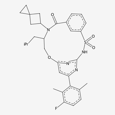 Cc1ccc(F)c(C)c1-c1cc2nc(n1)NS(=O)(=O)c1cccc(c1)C(=O)N(C1CC3(CC3)C1)C(CC(C)C)CO2